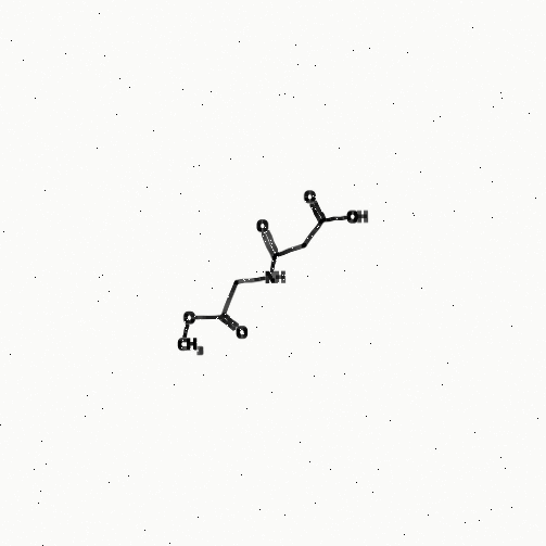 COC(=O)CNC(=O)CC(=O)O